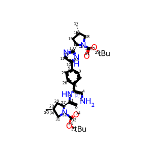 C=C(N/C(=C\N)c1ccc(-c2cnc([C@@H]3C[C@H](C)CN3C(=O)OC(C)(C)C)[nH]2)cc1)[C@@H]1C[C@H](C)CN1C(=O)OC(C)(C)C